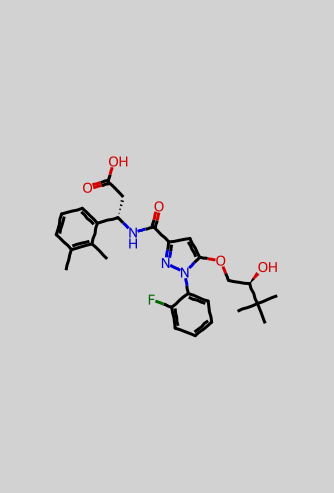 Cc1cccc([C@H](CC(=O)O)NC(=O)c2cc(OC[C@@H](O)C(C)(C)C)n(-c3ccccc3F)n2)c1C